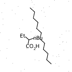 CCCCC(CC)C(=O)O.CCCCCCCCCCCC